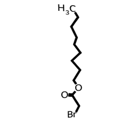 CCCCCCCCCOC(=O)CBr